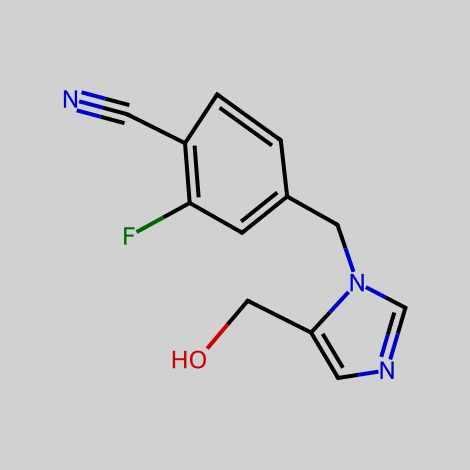 N#Cc1ccc(Cn2cncc2CO)cc1F